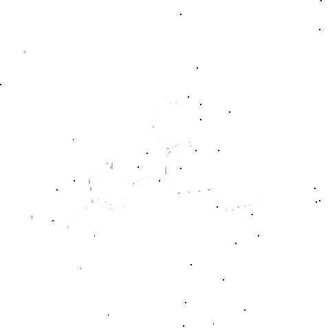 CCOCCN(C(=O)OC(C)(C)C)c1ncc(Br)s1